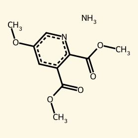 COC(=O)c1cc(OC)cnc1C(=O)OC.N